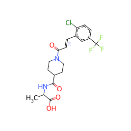 CC(NC(=O)C1CCN(C(=O)/C=C/c2cc(C(F)(F)F)ccc2Cl)CC1)C(=O)O